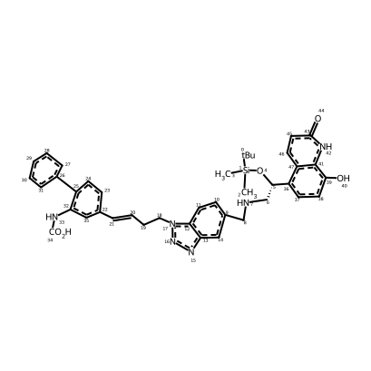 CC(C)(C)[Si](C)(C)O[C@@H](CNCc1ccc2c(c1)nnn2CC/C=C/c1ccc(-c2ccccc2)c(NC(=O)O)c1)c1ccc(O)c2[nH]c(=O)ccc12